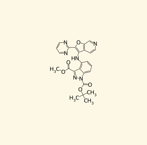 COC(=O)c1nn(C(=O)OC(C)(C)C)c2cccc(Nc3c(-c4ncccn4)oc4cnccc34)c12